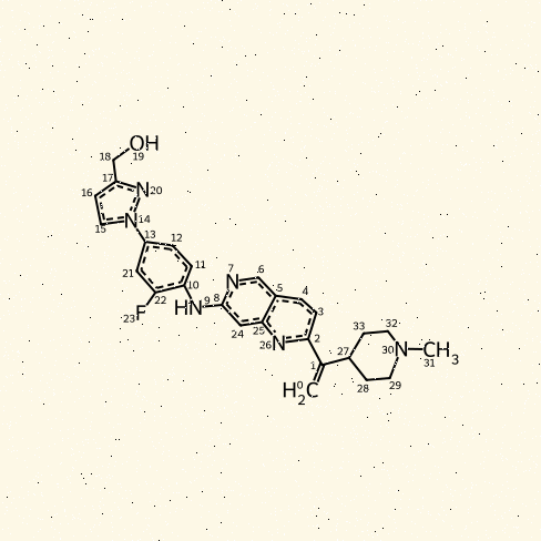 C=C(c1ccc2cnc(Nc3ccc(-n4ccc(CO)n4)cc3F)cc2n1)C1CCN(C)CC1